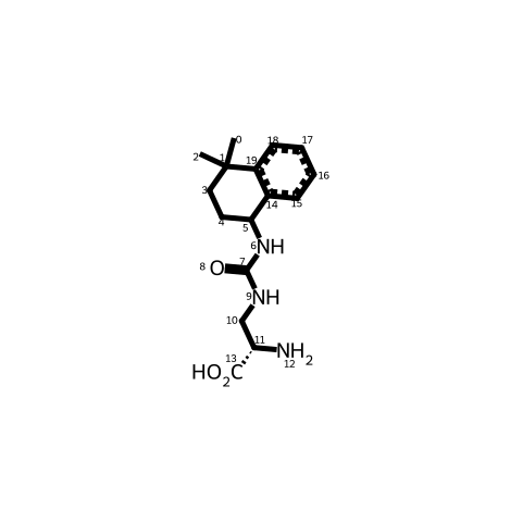 CC1(C)CCC(NC(=O)NC[C@H](N)C(=O)O)c2ccccc21